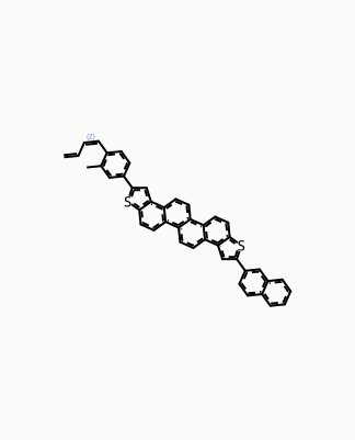 C=C/C=C\c1ccc(-c2cc3c(ccc4c3ccc3c5ccc6sc(-c7ccc8ccccc8c7)cc6c5ccc43)s2)cc1C